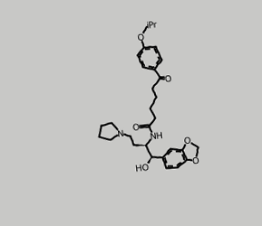 CC(C)Oc1ccc(C(=O)CCCCC(=O)N[C@H](CCN2CCCC2)[C@H](O)c2ccc3c(c2)OCO3)cc1